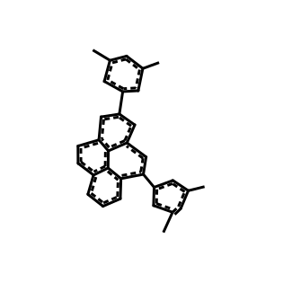 Cc1cc(C)cc(-c2cc3ccc4cccc5c(-c6cc(C)cc(C)c6)cc(c2)c3c45)c1